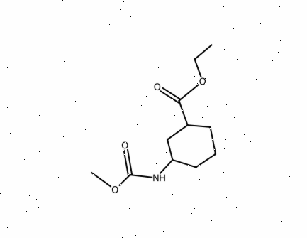 CCOC(=O)C1CCCC(NC(=O)OC)C1